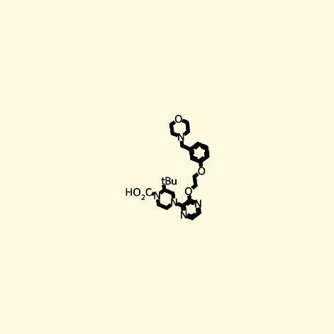 CC(C)(C)C1CN(c2nccnc2OCCOc2cccc(CN3CCOCC3)c2)CCN1C(=O)O